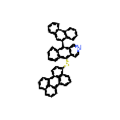 c1ccc2c(c1)cc(-c1c3ccccc3c(Sc3ccc4c5cccc6cccc(c7cccc3c74)c65)c3ccncc13)c1ccccc12